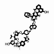 CCc1cccc2cc(O)cc(-c3ncc4c(N5CC6CCC(C5)N6)nc(OC[C@@]56CCCN5[C@H](CN5CCC(COc7cc([C@H](C(=O)N8C[C@H](O)C[C@H]8C(=O)N[C@@H](C)c8ccc(-c9scnc9C)cc8)C(C)C)on7)CC5)CC6)nc4c3F)c12